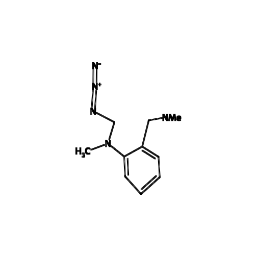 CNCc1ccccc1N(C)CN=[N+]=[N-]